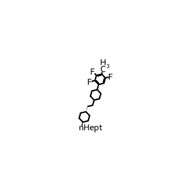 CCCCCCC[C@H]1CC[C@H](CCC2CCC(c3cc(F)c(C)c(F)c3F)CC2)CC1